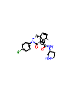 O=C(NC1CCNC1)[C@H]1[C@H](C(=O)Nc2ccc(Br)cc2)[C@@H]2C=C[C@H]1C21CC1